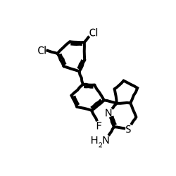 NC1=NC2(c3cc(-c4cc(Cl)cc(Cl)c4)ccc3F)CCCC2CS1